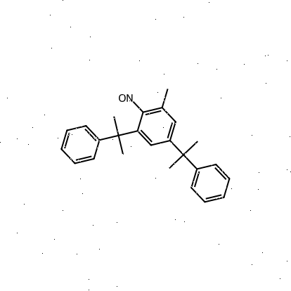 Cc1cc(C(C)(C)c2ccccc2)cc(C(C)(C)c2ccccc2)c1N=O